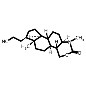 CN1C(=O)CC[C@@H]2[C@H]3CC[C@]4(C)[C@@H](CCC#N)CC[C@H]4[C@@H]3CC[C@H]21